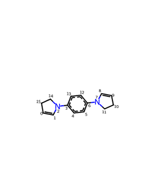 C1=CN(c2ccc(N3C=CCC3)cc2)CC1